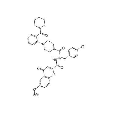 CCCOc1ccc2oc(C(=O)N[C@H](Cc3ccc(Cl)cc3)C(=O)N3CCN(c4ccccc4C(=O)N4CCCCC4)CC3)cc(=O)c2c1